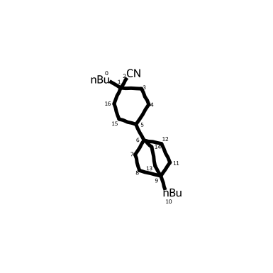 CCCCC1(C#N)CCC(C23CCC(CCCC)(CC2)CC3)CC1